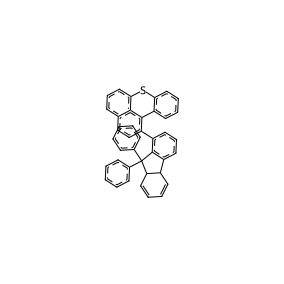 C1=CC2c3cccc(-c4ccc5cccc6c5c4-c4ccccc4S6)c3C(c3ccccc3)(c3ccccc3)C2C=C1